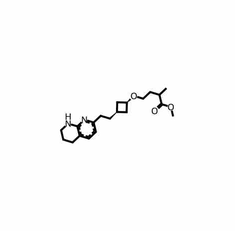 COC(=O)C(C)CCO[C@H]1C[C@@H](CCc2ccc3c(n2)NCCC3)C1